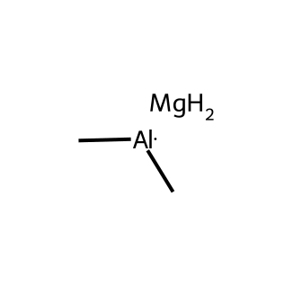 [CH3][Al][CH3].[MgH2]